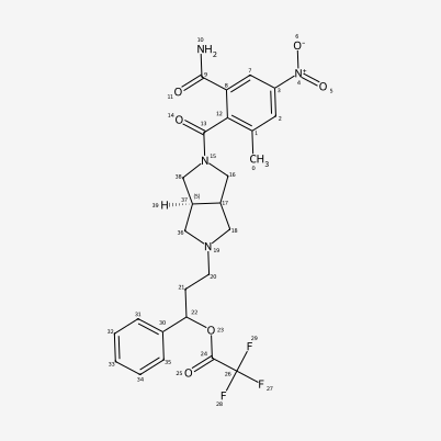 Cc1cc([N+](=O)[O-])cc(C(N)=O)c1C(=O)N1CC2CN(CCC(OC(=O)C(F)(F)F)c3ccccc3)C[C@H]2C1